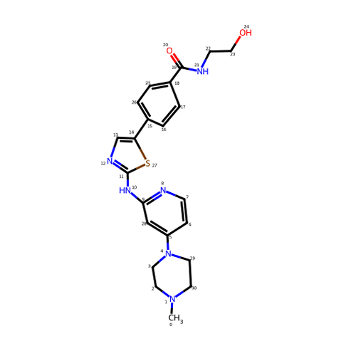 CN1CCN(c2ccnc(Nc3ncc(-c4ccc(C(=O)NCCO)cc4)s3)c2)CC1